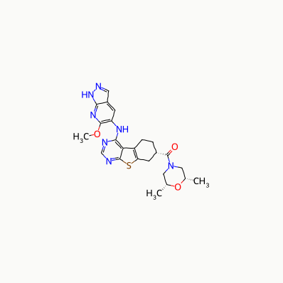 COc1nc2[nH]ncc2cc1Nc1ncnc2sc3c(c12)CC[C@H](C(=O)N1C[C@@H](C)O[C@@H](C)C1)C3